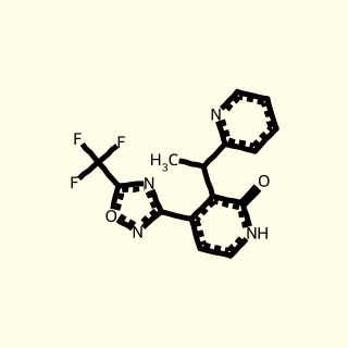 CC(c1ccccn1)c1c(-c2noc(C(F)(F)F)n2)cc[nH]c1=O